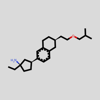 CC[C@@]1(N)CC[C@H](c2ccc3c(c2)CC[C@@H](CCOCC(C)C)C3)C1